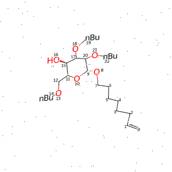 C=CCCCCCCO[C@@H]1OC(COCCCC)[C@@H](O)C(OCCCC)C1OCCCC